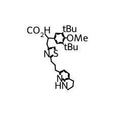 COc1c(C(C)(C)C)cc(C(CC(=O)O)Cc2csc(CCCc3ccc4c(n3)NCCC4)n2)cc1C(C)(C)C